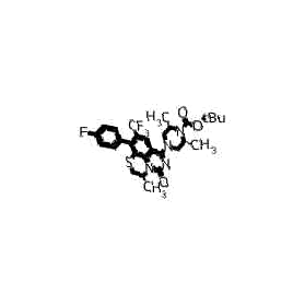 C[C@@H]1CN(c2nc(=O)n3c4c(c(-c5ccc(F)cc5)c(C(F)(F)F)cc24)SC[C@@H]3C)C[C@H](C)N1C(=O)OC(C)(C)C